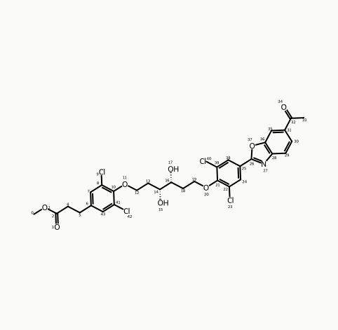 COC(=O)CCc1cc(Cl)c(OCC[C@@H](O)[C@H](O)CCOc2c(Cl)cc(-c3nc4ccc(C(C)=O)cc4o3)cc2Cl)c(Cl)c1